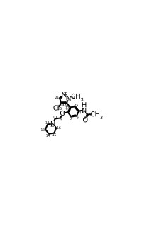 CC(=O)Nc1ccc(OCCN2CCCCC2)c(-c2c(Cl)cnn2C)c1